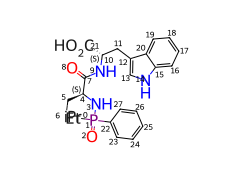 CCP(=O)(N[C@@H](CC(C)C)C(=O)N[C@@H](Cc1c[nH]c2ccccc12)C(=O)O)c1ccccc1